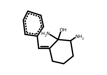 NC1CCCC(=Cc2ccccc2)C1(N)O